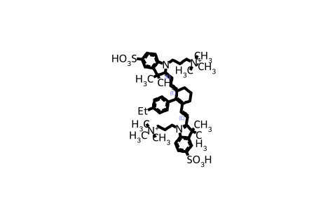 CCc1ccc(C2=C(/C=C/C3=[N+](CCC[N+](C)(C)C)c4ccc(S(=O)(=O)O)cc4C3(C)C)CCC/C2=C\C=C2\N(CCC[N+](C)(C)C)c3ccc(S(=O)(=O)O)cc3C2(C)C)cc1